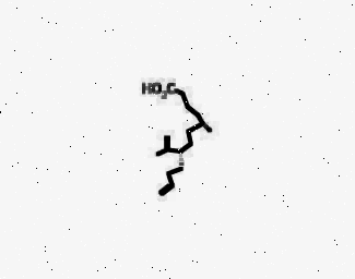 C=CCC[C@@H](CC[C@H](C)CCCC(=O)O)C(=C)C